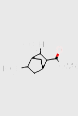 COC(=O)C1C2CC(C(=O)O)C(C2)C1C(=O)O